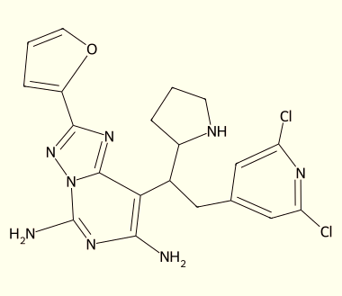 Nc1nc(N)n2nc(-c3ccco3)nc2c1C(Cc1cc(Cl)nc(Cl)c1)C1CCCN1